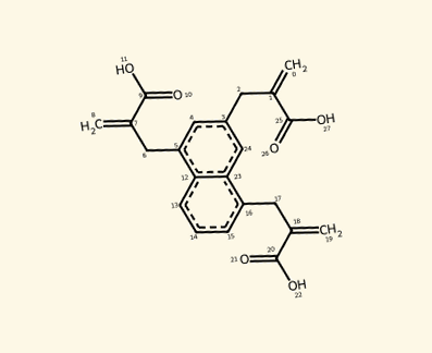 C=C(Cc1cc(CC(=C)C(=O)O)c2cccc(CC(=C)C(=O)O)c2c1)C(=O)O